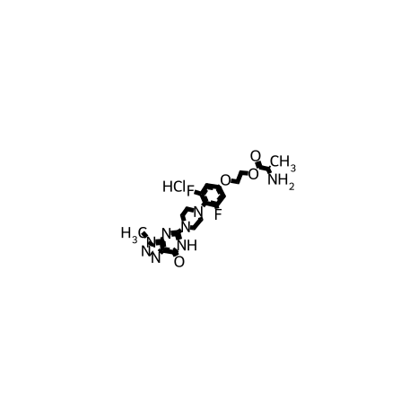 C[C@H](N)C(=O)OCCOc1cc(F)c(N2CCN(c3nc4c(nnn4C)c(=O)[nH]3)CC2)c(F)c1.Cl